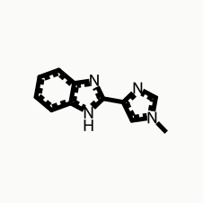 Cn1cnc(-c2nc3ccccc3[nH]2)c1